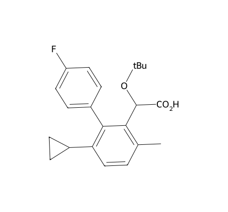 Cc1ccc(C2CC2)c(-c2ccc(F)cc2)c1C(OC(C)(C)C)C(=O)O